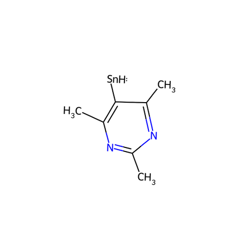 Cc1nc(C)[c]([SnH])c(C)n1